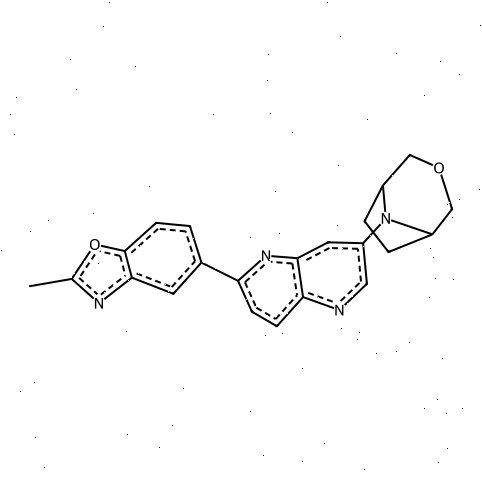 Cc1nc2cc(-c3ccc4ncc(N5C6CCC5COC6)cc4n3)ccc2o1